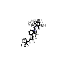 BC1(B)/C(=C/C=C2\CCC[C@]3(C)[C@@H]([C@H](C)CC[C@@H](O)C(C)(C)O)CC[C@@H]23)C(=C)[C@@H](O)C[C@]1(B)O